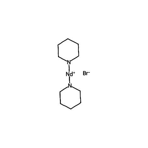 C1CC[N]([Nd+][N]2CCCCC2)CC1.[Br-]